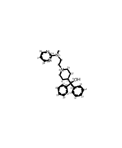 CN(CCN1CCC(C(O)(c2ccccc2)c2ccccc2)CC1)c1ncccn1